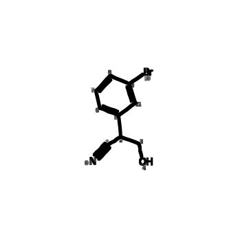 N#CC(CO)c1cccc(Br)c1